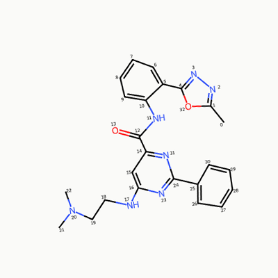 Cc1nnc(-c2ccccc2NC(=O)c2cc(NCCN(C)C)nc(-c3ccccc3)n2)o1